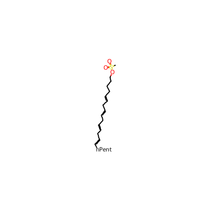 CCCCCC=CCC=CCC=CCC=CCCCCOS(C)(=O)=O